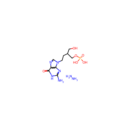 N.N.Nc1nc2c(ncn2CCC(CO)COP(=O)(O)O)c(=O)[nH]1